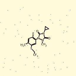 Cc1cc(F)c(-n2c(=O)n(C3CC3)c(=O)n2C)cc1SCC(F)(F)F